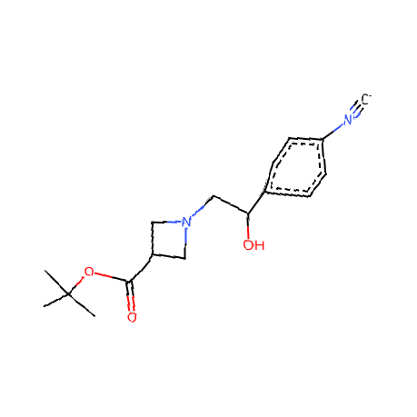 [C-]#[N+]c1ccc(C(O)CN2CC(C(=O)OC(C)(C)C)C2)cc1